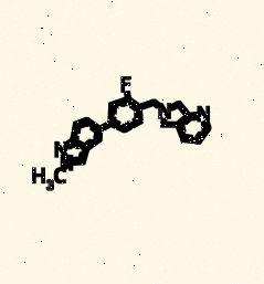 Cn1cc2cc(-c3ccc(CN4Cc5cccnc5C4)c(F)c3)ccc2n1